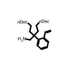 C=Cc1ccccc1C(CN)(CCCCCCCCCCCC)CCCCCCCCCCCC